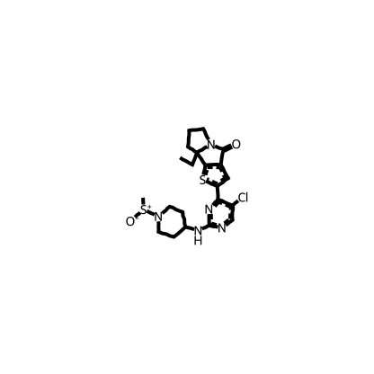 CCC12CCCN1C(=O)c1cc(-c3nc(NC4CCN([S+](C)[O-])CC4)ncc3Cl)sc12